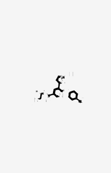 Cn1ccc(-c2cc(C(=O)N[C@@H](CO)C(N)=O)cnc2Oc2ccc(C(F)(F)F)cc2)n1